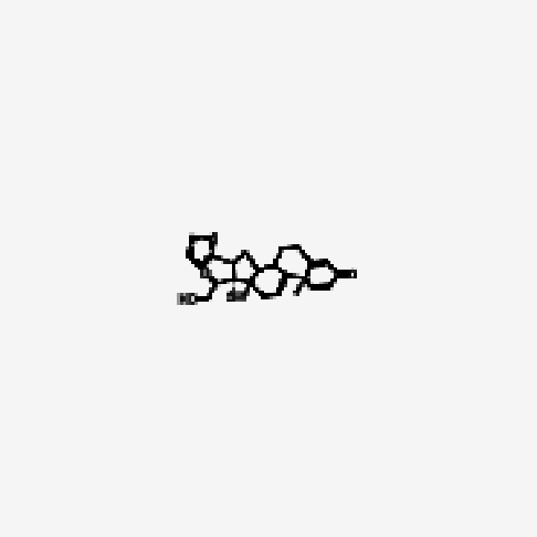 C[C@]12C=CC(=O)C=C1CCC1C2=CC[C@@]2(C)C1C[C@H](c1cccs1)[C@]2(O)C(=O)CO